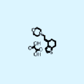 C(/CN1CCOCC1)=C1/CCCc2sccc21.O=C(O)C(=O)O